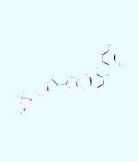 Cc1nc(OC[C@@H]2OC(C)(C)OC2(C)C)sc1-c1nnc(Cc2ccc(Cl)c(Oc3cc(N)cc(Cl)c3)c2F)o1